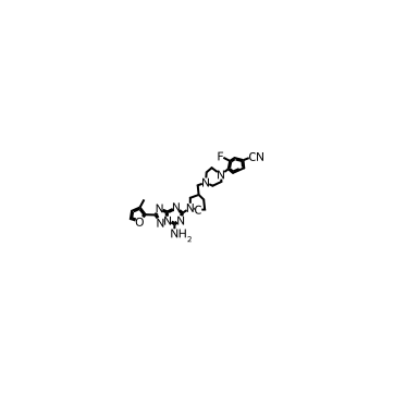 Cc1ccoc1-c1nc2nc(N3CCCC(CN4CCN(c5ccc(C#N)cc5F)CC4)C3)nc(N)n2n1